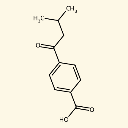 CC(C)CC(=O)c1ccc(C(=O)O)cc1